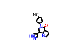 N#Cc1ccc(-n2cc(-c3cn[nH]c3)c3ncccc3c2=O)cc1